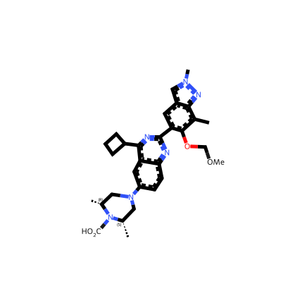 COCOc1c(-c2nc(C3CCC3)c3cc(N4C[C@@H](C)N(C(=O)O)[C@@H](C)C4)ccc3n2)cc2cn(C)nc2c1C